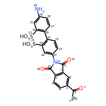 CC(C)C(=O)c1ccc2c(c1)C(=O)N(c1ccc(-c3ccc(N)cc3S(=O)(=O)O)c(S(=O)(=O)O)c1)C2=O